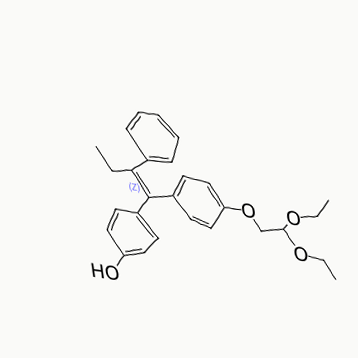 CCOC(COc1ccc(/C(=C(/CC)c2ccccc2)c2ccc(O)cc2)cc1)OCC